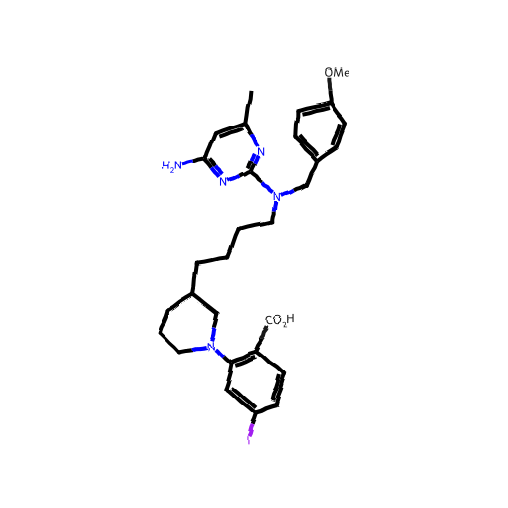 COc1ccc(CN(CCCCC2CCCN(c3cc(I)ccc3C(=O)O)C2)c2nc(C)cc(N)n2)cc1